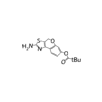 CC(C)(C)C(=O)Oc1ccc2c(c1)OCc1sc(N)nc1-2